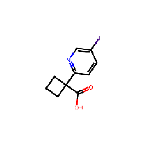 O=C(O)C1(c2ccc(I)cn2)CCC1